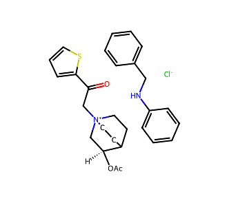 CC(=O)O[C@H]1C[N+]2(CC(=O)c3cccs3)CCC1CC2.[Cl-].c1ccc(CNc2ccccc2)cc1